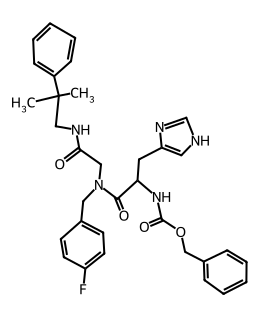 CC(C)(CNC(=O)CN(Cc1ccc(F)cc1)C(=O)C(Cc1c[nH]cn1)NC(=O)OCc1ccccc1)c1ccccc1